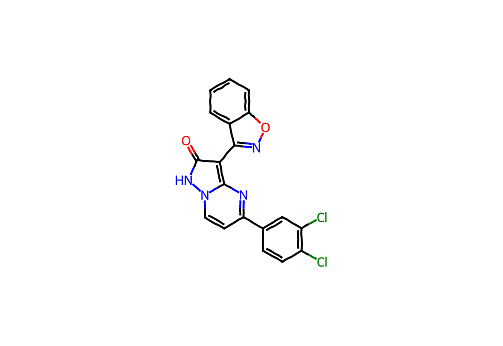 O=c1[nH]n2ccc(-c3ccc(Cl)c(Cl)c3)nc2c1-c1noc2ccccc12